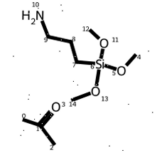 CC(C)=O.CO[Si](CCCN)(OC)OC